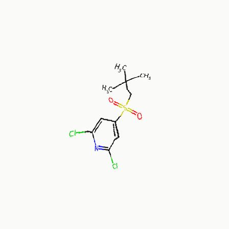 CC(C)(C)CS(=O)(=O)c1cc(Cl)nc(Cl)c1